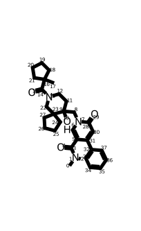 CN(C)C(=O)c1cn(CC2(O)CCN(C(=O)C3(C)CCCC3)CC23CCCC3)c(=O)cc1-c1ccccc1